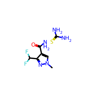 Cn1cc(C(N)=O)c(C(F)F)n1.NC(N)=S